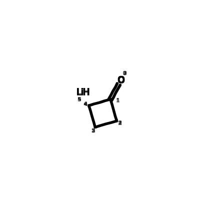 O=C1CCC1.[LiH]